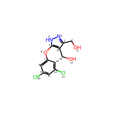 OCc1n[nH]c(Oc2cc(Cl)cc(Cl)c2)c1CO